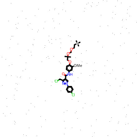 COc1cc(NC(=O)c2cn(-c3ccc(Cl)cc3)nc2CCl)ccc1OCC(C)(C)OCOCC[Si](C)(C)C